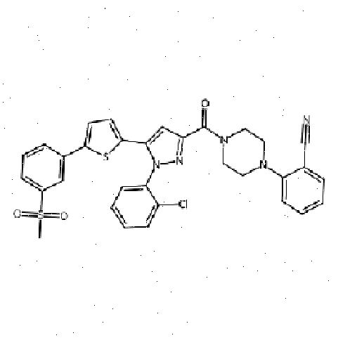 CS(=O)(=O)c1cccc(-c2ccc(-c3cc(C(=O)N4CCN(c5ccccc5C#N)CC4)nn3-c3ccccc3Cl)s2)c1